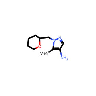 CNc1c(N)cnn1CC1CCCCO1